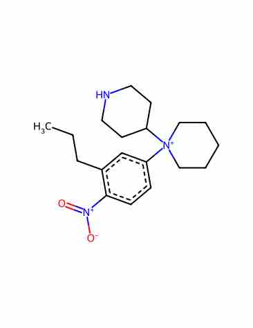 CCCc1cc([N+]2(C3CCNCC3)CCCCC2)ccc1[N+](=O)[O-]